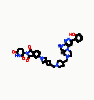 O=C1CCC(N2C(=O)c3ccc(N4CC5(CC(CN6CCC(CN7CCN8c9cc(-c%10ccccc%10O)nnc9NC[C@H]8C7)CC6)C5)C4)cc3C2=O)C(=O)N1